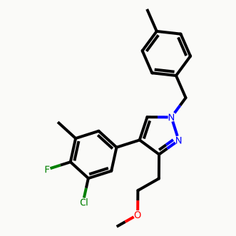 COCCc1nn(Cc2ccc(C)cc2)cc1-c1cc(C)c(F)c(Cl)c1